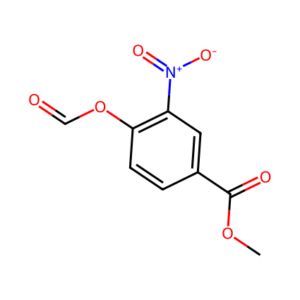 COC(=O)c1ccc(OC=O)c([N+](=O)[O-])c1